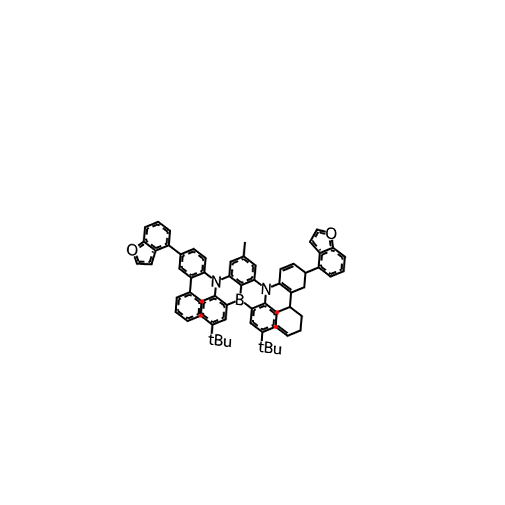 Cc1cc2c3c(c1)N(c1ccc(-c4cccc5occc45)cc1-c1ccccc1)c1ccc(C(C)(C)C)cc1B3c1cc(C(C)(C)C)ccc1N2C1=C(C2CC=CCC2)CC(c2cccc3occc23)C=C1